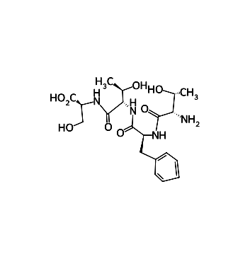 C[C@@H](O)[C@H](N)C(=O)N[C@@H](Cc1ccccc1)C(=O)N[C@H](C(=O)N[C@@H](CO)C(=O)O)[C@@H](C)O